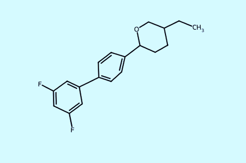 CCC1CCC(c2ccc(-c3cc(F)cc(F)c3)cc2)OC1